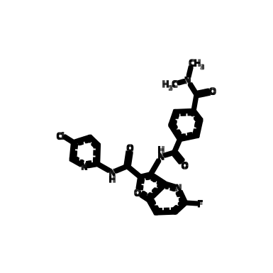 CN(C)C(=O)c1ccc(C(=O)Nc2c(C(=O)Nc3ccc(Cl)cn3)oc3ccc(F)nc23)cc1